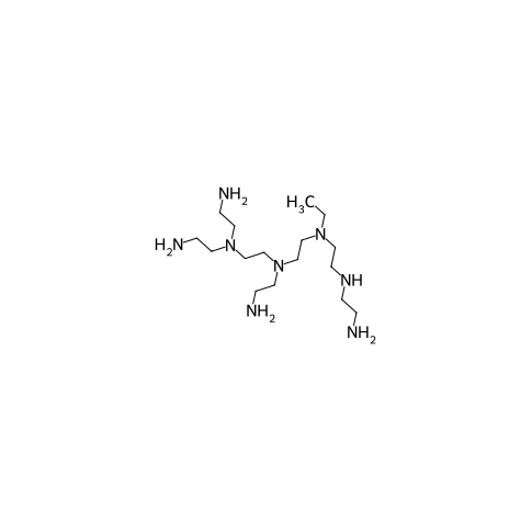 CCN(CCNCCN)CCN(CCN)CCN(CCN)CCN